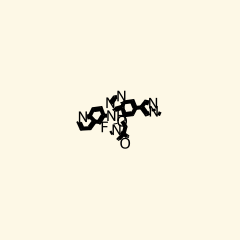 CN(C)C1(COc2cc(-c3cnn(C)c3)cc3ncnc(Nc4ccc5ncccc5c4F)c23)COC1